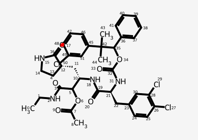 CCNC(=O)C(OC(C)=O)[C@H](C[C@@H]1CCNC1=O)NC(=O)[C@H](Cc1ccc(Cl)c(Cl)c1)NC(=O)OC(c1ccccc1)C(C)(C)c1cccc(Cl)c1